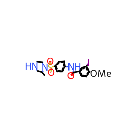 COc1ccc(C(=O)Nc2ccc(S(=O)(=O)N3CCNCC3C)cc2)cc1I